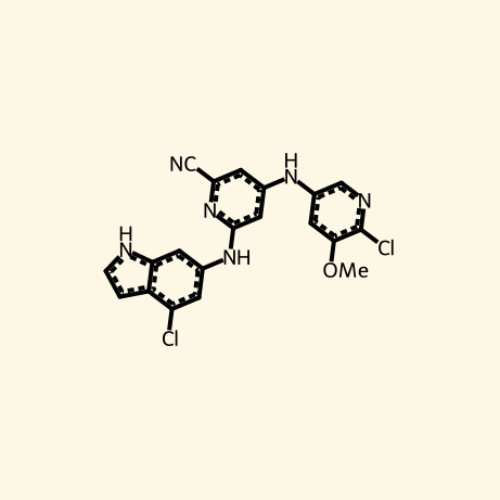 COc1cc(Nc2cc(C#N)nc(Nc3cc(Cl)c4cc[nH]c4c3)c2)cnc1Cl